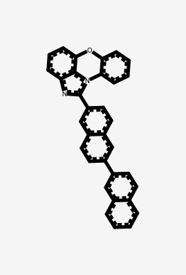 c1ccc2c(c1)Oc1cccc3nc(-c4ccc5cc(-c6ccc7ccccc7c6)ccc5c4)n-2c13